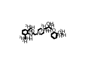 [2H]C([2H])([2H])Oc1ccccc1OC([2H])([2H])C(O)C([2H])([2H])N1CCN(CC(=O)Nc2c(C([2H])([2H])[2H])cccc2C([2H])([2H])[2H])CC1